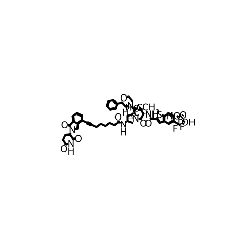 CC(C)(C)[C@H](NC(=O)c1cc2cc(C(F)(F)P(=O)(O)O)ccc2s1)C(=O)N1C[C@@H](NC(=O)CCCCCC#Cc2cccc3c2CN(C2CCC(=O)NC2=O)C3=O)C[C@H]1C(=O)N1CCOC(c2ccccc2)C1